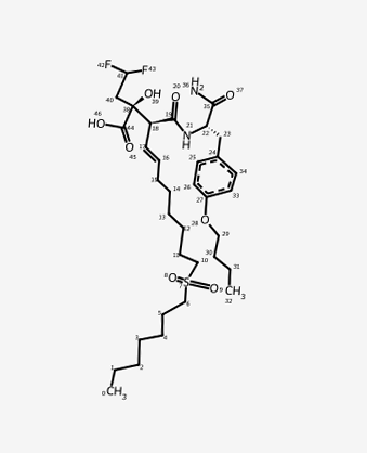 CCCCCCCS(=O)(=O)CCCCCC/C=C/[C@H](C(=O)N[C@@H](Cc1ccc(OCCCC)cc1)C(N)=O)[C@@](O)(CC(F)F)C(=O)O